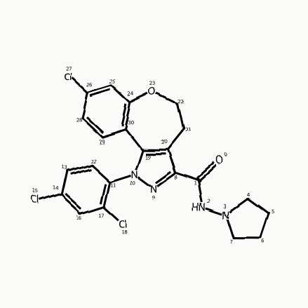 O=C(NN1CCCC1)c1nn(-c2ccc(Cl)cc2Cl)c2c1CCOc1cc(Cl)ccc1-2